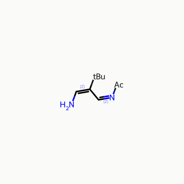 CC(=O)/N=C\C(=C/N)C(C)(C)C